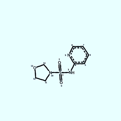 O=S(=O)(Nc1ccccn1)N1CCOC1